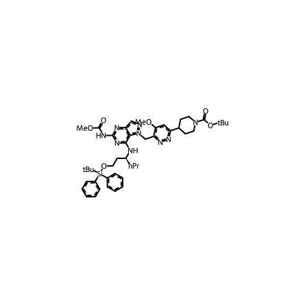 CCC[C@@H](CCO[Si](c1ccccc1)(c1ccccc1)C(C)(C)C)Nc1nc(NC(=O)OC)nc2cnn(Cc3nnc(C4CCN(C(=O)OC(C)(C)C)CC4)cc3OC)c12